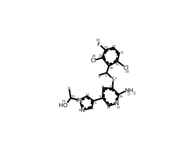 CC(Sc1cc(-c2cnn(C(C)O)c2)cnc1N)c1c(Cl)ccc(F)c1Cl